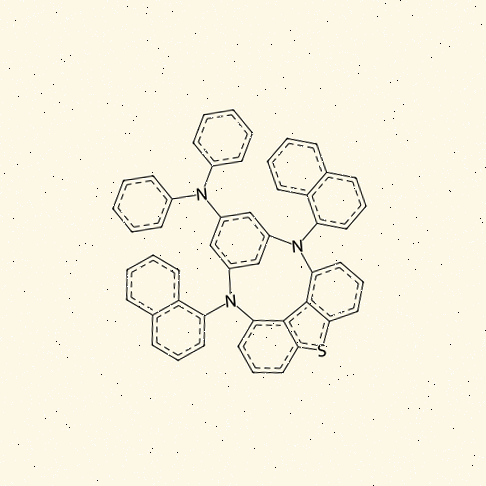 c1ccc(N(c2ccccc2)c2cc3cc(c2)N(c2cccc4ccccc24)c2cccc4sc5cccc(c5c24)N3c2cccc3ccccc23)cc1